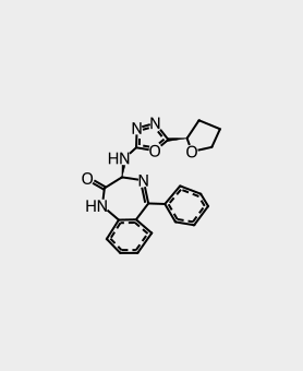 O=C1Nc2ccccc2C(c2ccccc2)=N[C@@H]1Nc1nnc([C@H]2CCCO2)o1